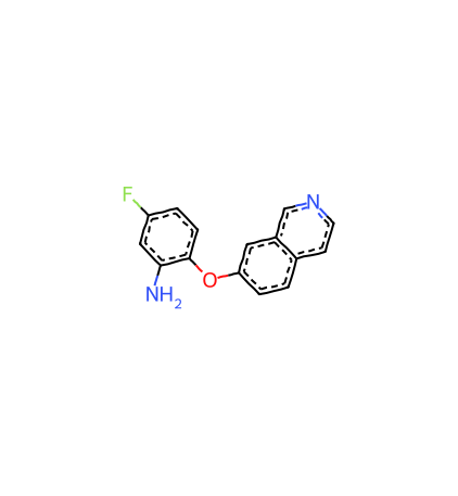 Nc1cc(F)ccc1Oc1ccc2ccncc2c1